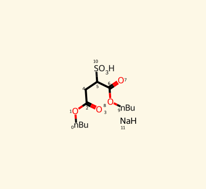 CCCCOC(=O)CC(C(=O)OCCCC)S(=O)(=O)O.[NaH]